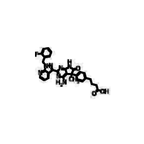 CC1(c2ccc(CCCC(=O)O)cc2)C(=O)Nc2nc(-c3nn(Cc4ccccc4F)c4ncccc34)nc(N)c21